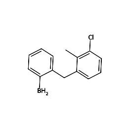 Bc1ccccc1Cc1cccc(Cl)c1C